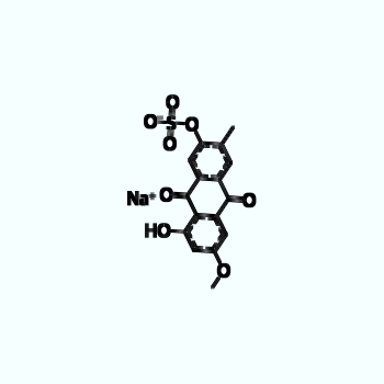 COc1cc(O)c2c(c1)C(=O)c1cc(C)c(OS(=O)(=O)[O-])cc1C2=O.[Na+]